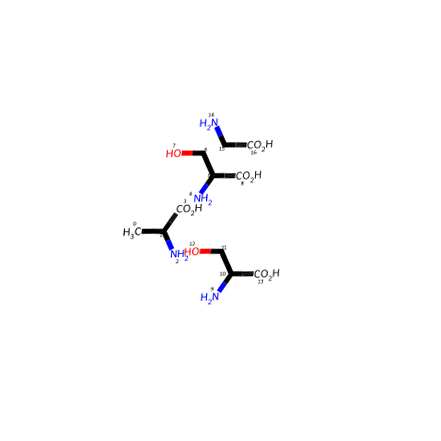 CC(N)C(=O)O.NC(CO)C(=O)O.NC(CO)C(=O)O.NCC(=O)O